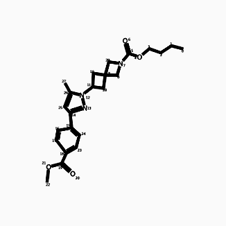 CCCCOC(=O)N1CC2(CC(n3nc(-c4ccc(C(=O)OC)cc4)cc3C)C2)C1